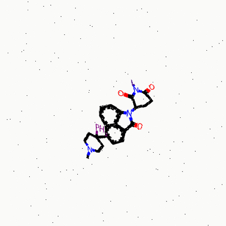 CN1CCC(P)(c2ccc3c4c(cccc24)N(C2CCC(=O)N(I)C2=O)C3=O)CC1